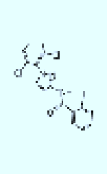 O=C(Nc1ccn(-c2c(Cl)cccc2Cl)n1)c1ccccc1I